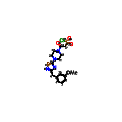 COc1cccc(Cc2nsc(N3CCN(C(=O)CS(=O)(=O)Cl)CC3)n2)c1